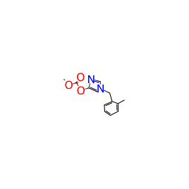 COC(=O)Oc1cn(Cc2ccccc2C)cn1